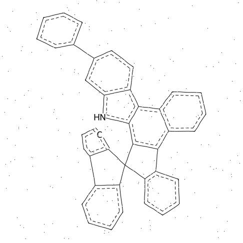 c1ccc(-c2ccc3c(c2)[nH]c2c4c(c5ccccc5c23)-c2ccccc2C42c3ccccc3-c3ccccc32)cc1